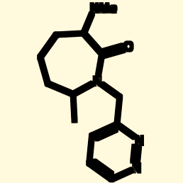 CNC1CCCC(C)N(Cc2cccnn2)C1=O